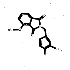 CCCCOc1cccc2c1C(=O)N(Cc1ccc(Cl)c(C)c1)C2=O